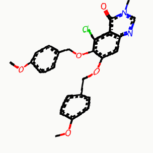 COc1ccc(COc2cc3ncn(C)c(=O)c3c(Cl)c2OCc2ccc(OC)cc2)cc1